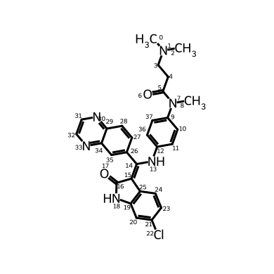 CN(C)CCC(=O)N(C)c1ccc(NC(=C2C(=O)Nc3cc(Cl)ccc32)c2ccc3nccnc3c2)cc1